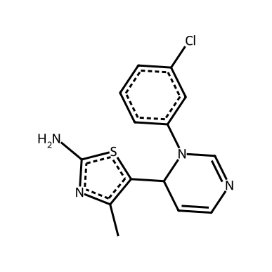 Cc1nc(N)sc1C1C=CN=CN1c1cccc(Cl)c1